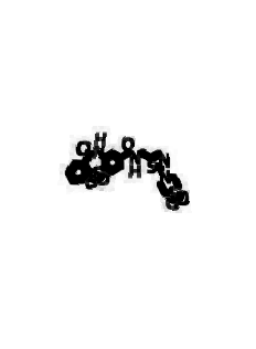 O=C(NCc1cnc(N2CCS(=O)(=O)CC2)s1)c1ccc2c(c1)NC(=O)c1ccccc1S2(=O)=O